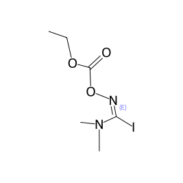 CCOC(=O)O/N=C(/I)N(C)C